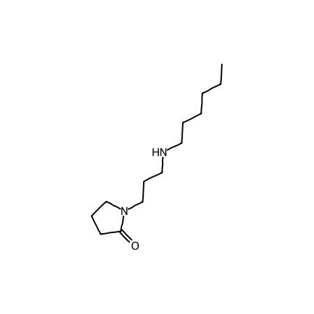 CCCCCCNCCCN1CCCC1=O